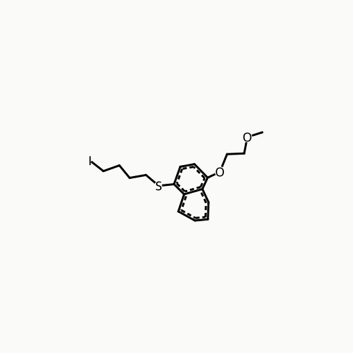 COCCOc1ccc(SCCCCI)c2ccccc12